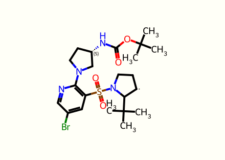 CC(C)(C)OC(=O)N[C@H]1CCN(c2ncc(Br)cc2S(=O)(=O)N2CC[CH]C2C(C)(C)C)C1